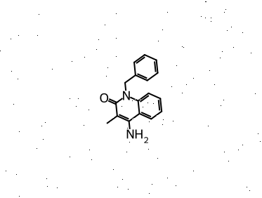 Cc1c(N)c2ccccc2n(Cc2ccccc2)c1=O